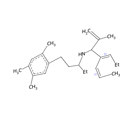 C=C(C)C(NC(CC)CCc1cc(C)c(C)cc1C)C(/C=C\C)=C/CC